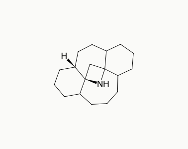 C1CC2CCCC3CCC[C@@H]4CCC(C1)C21C[C@]34N1